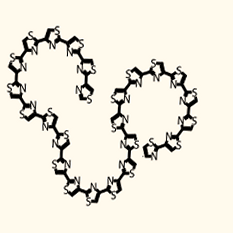 [c]1csc(-c2csc(-c3csc(-c4csc(-c5csc(-c6csc(-c7csc(-c8csc(-c9csc(-c%10csc(-c%11csc(-c%12csc(-c%13csc(-c%14csc(-c%15csc(-c%16csc(-c%17csc(-c%18csc(-c%19csc(-c%20csc(-c%21csc(-c%22csc(-c%23csc(-c%24csc(-c%25cscn%25)n%24)n%23)n%22)n%21)n%20)n%19)n%18)n%17)n%16)n%15)n%14)n%13)n%12)n%11)n%10)n9)n8)n7)n6)n5)n4)n3)n2)n1